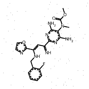 COC(=O)N(C)c1c(N)nc(C(=N)/C=C(\NCc2ccccc2F)c2ncco2)nc1N